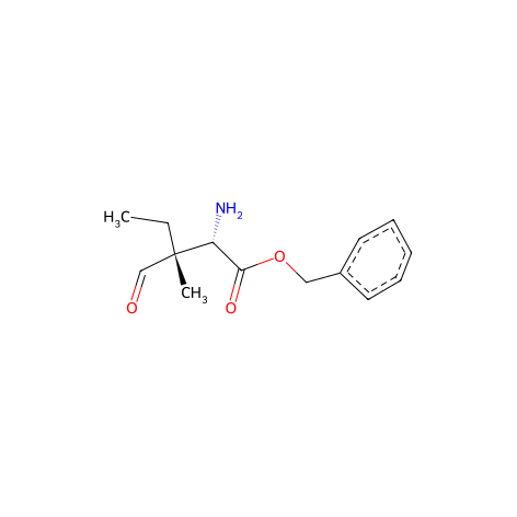 CC[C@@](C)(C=O)[C@H](N)C(=O)OCc1ccccc1